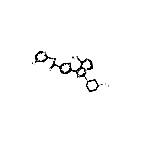 CCc1ccnc(NC(=O)c2ccc(-c3nc([C@@H]4CCC[C@H](C(=O)O)C4)n4ccnc(N)c34)cc2)c1